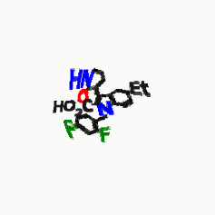 CCc1ccc2c(c1)c(-c1ccc[nH]c1=O)c(C(=O)O)n2Cc1ccc(F)cc1F